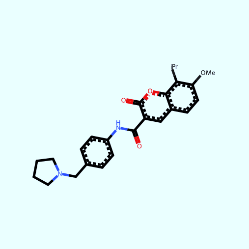 COc1ccc2cc(C(=O)Nc3ccc(CN4CCCC4)cc3)c(=O)oc2c1C(C)C